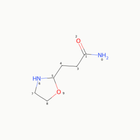 NC(=O)CCC1NCCO1